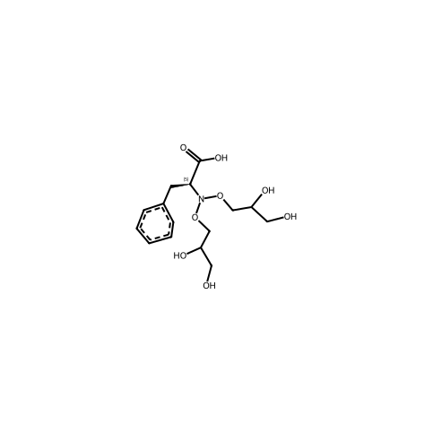 O=C(O)[C@H](Cc1ccccc1)N(OCC(O)CO)OCC(O)CO